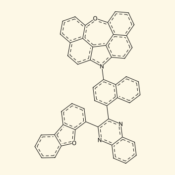 c1ccc2nc(-c3cccc4c3oc3ccccc34)c(-c3ccc(-n4c5ccc6cccc7oc8cccc9ccc4c(c98)c5c67)c4ccccc34)nc2c1